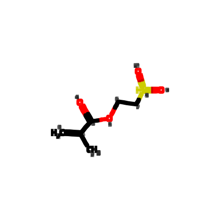 C=C(C)C(=O)OCC[SH](=O)=O